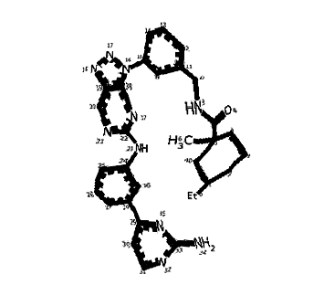 CCC1CC=CC(C)(C(=O)NCc2cccc(-n3nnc4cnc(Nc5cccc(-c6ccnc(N)n6)c5)nc43)c2)C1